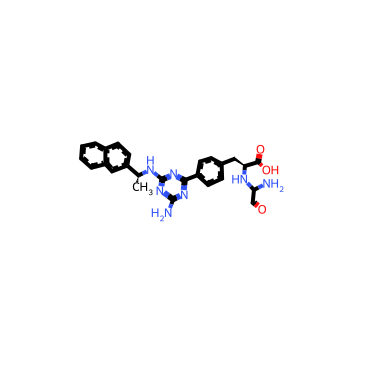 C[C@@H](Nc1nc(N)nc(-c2ccc(C[C@H](NC(N)C=O)C(=O)O)cc2)n1)c1ccc2ccccc2c1